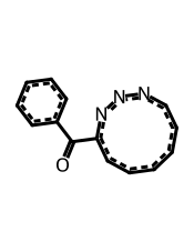 O=C(c1ccccc1)c1ccccccnnn1